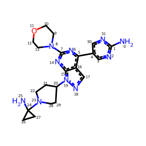 Nc1ncc(-c2nc(N3CCOCC3)nc3c2cnn3C2CCN(C3(N)CC3)CC2)cn1